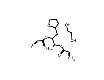 C=CC(=O)OC(C)C(CC1CCCO1)OC(=O)C=C.OCCO